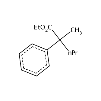 CCCC(C)(C(=O)OCC)c1ccccc1